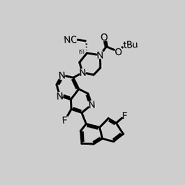 CC(C)(C)OC(=O)N1CCN(c2ncnc3c(F)c(-c4cccc5ccc(F)cc45)ncc23)C[C@@H]1CC#N